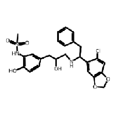 CS(=O)(=O)Nc1cc(CC(O)CNC(Cc2ccccc2)c2cc3c(cc2Cl)OCO3)ccc1O